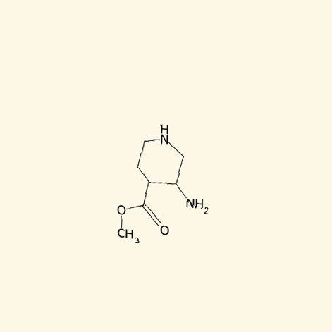 COC(=O)C1CCNCC1N